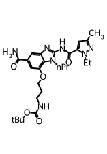 CCCn1c(NC(=O)c2cc(C)nn2CC)nc2cc(C(N)=O)cc(OCCCNC(=O)OC(C)(C)C)c21